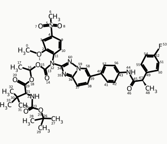 COc1cc(S(C)(=O)=O)ccc1N(C(=O)OC(C)OC(=O)[C@@H](NC(=O)OC(C)(C)C)C(C)(C)C)c1nc2ccc(-c3ccc(NC(=O)[C@H](C)c4ccc(F)cc4)cc3)cn2n1